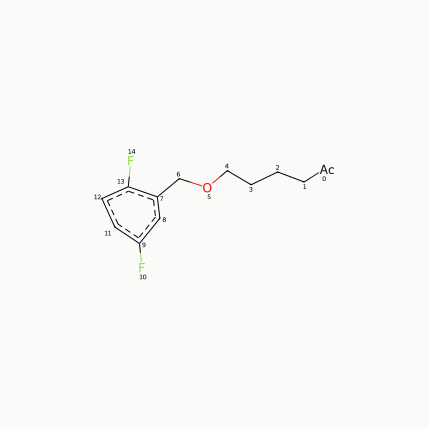 CC(=O)CCCCOCc1cc(F)ccc1F